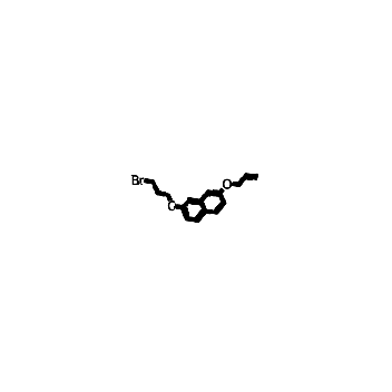 C=CCOc1ccc2ccc(OCCCBr)cc2c1